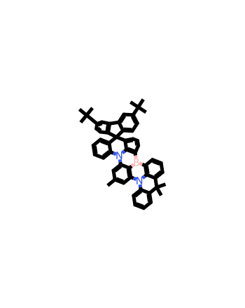 Cc1cc2c3c(c1)N1c4ccccc4C4(c5ccc(C(C)(C)C)cc5-c5cc(C(C)(C)C)ccc54)c4cccc(c41)B3c1cccc3c1N2c1ccccc1C3(C)C